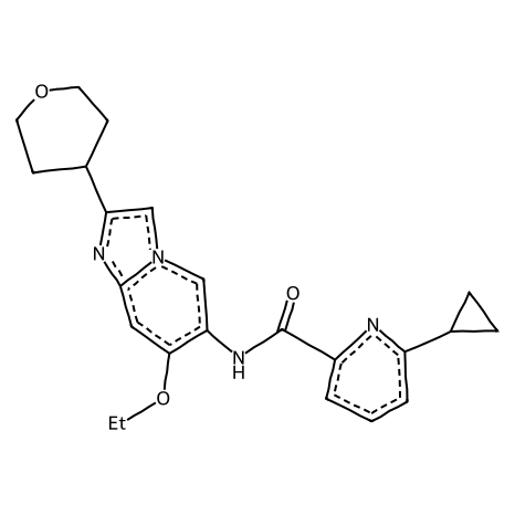 CCOc1cc2nc(C3CCOCC3)cn2cc1NC(=O)c1cccc(C2CC2)n1